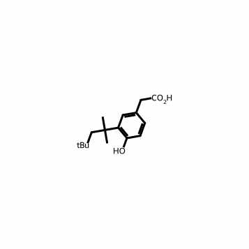 CC(C)(C)CC(C)(C)c1cc(CC(=O)O)ccc1O